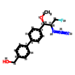 CO[C@H](c1ccc(-c2ccc(CO)cc2)cc1)[C@@H](CF)N=[N+]=[N-]